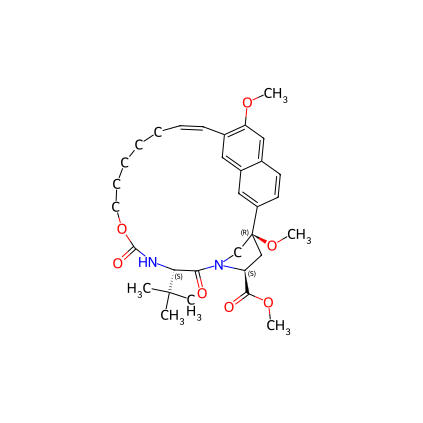 COC(=O)[C@@H]1C[C@]2(OC)CN1C(=O)[C@H](C(C)(C)C)NC(=O)OCCCCCC=Cc1cc3cc2ccc3cc1OC